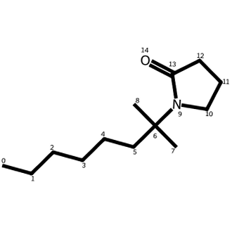 CCCCCCC(C)(C)N1CCCC1=O